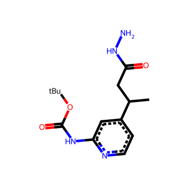 CC(CC(=O)NN)c1ccnc(NC(=O)OC(C)(C)C)c1